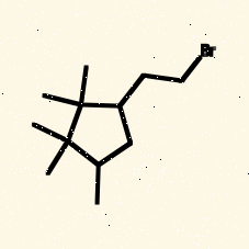 CC1CC(CCBr)C(C)(C)C1(C)C